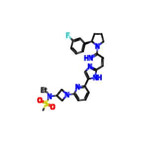 CCN(C1CN(c2cccc(-c3cnc(/C=C\C(=N)N4CCC[C@@H]4c4cccc(F)c4)[nH]3)n2)C1)S(C)(=O)=O